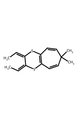 C/C=C1/SC2=C(C=CC(C)(C)C=C2)S/C1=C/C